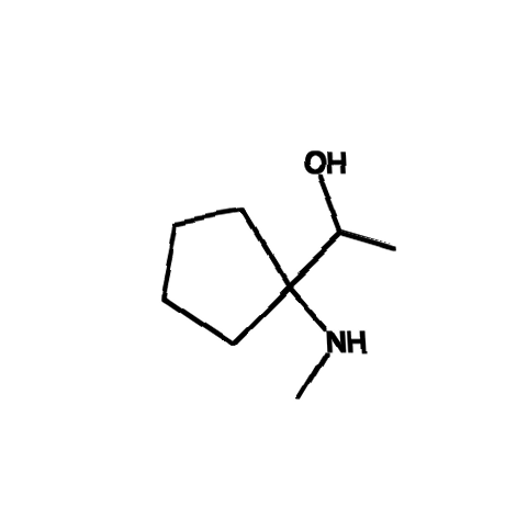 CNC1(C(C)O)CCCC1